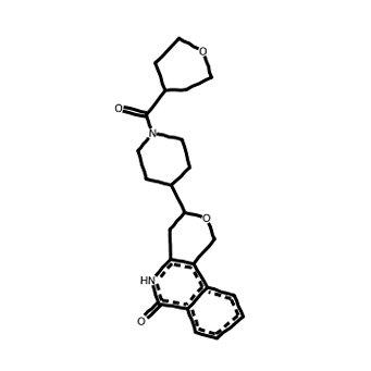 O=C(C1CCOCC1)N1CCC(C2Cc3[nH]c(=O)c4ccccc4c3CO2)CC1